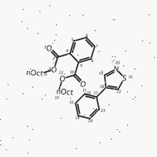 CCCCCCCCOC(=O)c1ccccc1C(=O)OCCCCCCCC.c1ccc(-c2cnsc2)cc1